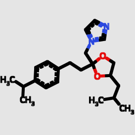 CC(C)CC1COC(CCc2ccc(C(C)C)cc2)(Cn2ccnc2)O1